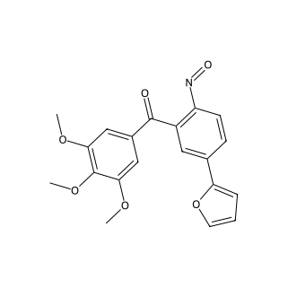 COc1cc(C(=O)c2cc(-c3ccco3)ccc2N=O)cc(OC)c1OC